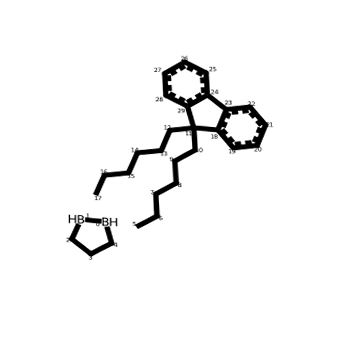 B1BCCC1.CCCCCCC1(CCCCCC)c2ccccc2-c2ccccc21